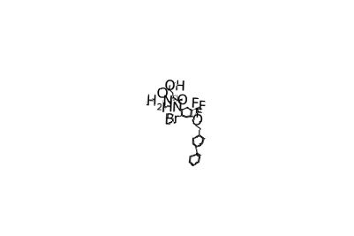 N[C@@H](CC(=O)O)C(=O)Nc1cc(C(F)(F)F)c(OCCc2ccc(-c3ccccc3)cc2)cc1Br